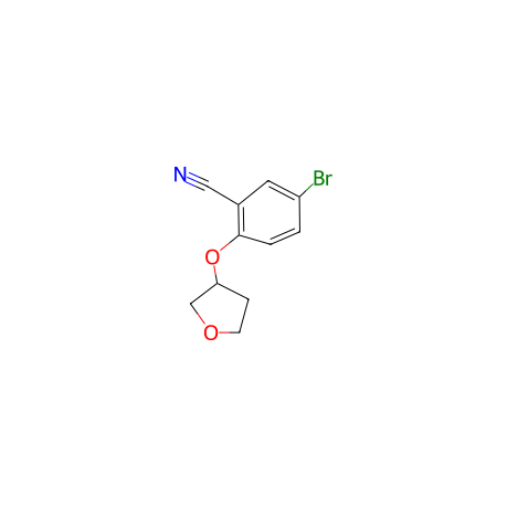 N#Cc1cc(Br)ccc1OC1CCOC1